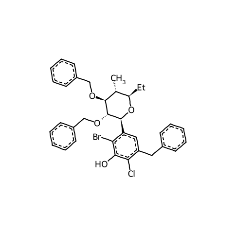 CC[C@H]1O[C@@H](c2cc(Cc3ccccc3)c(Cl)c(O)c2Br)[C@H](OCc2ccccc2)[C@@H](OCc2ccccc2)[C@@H]1C